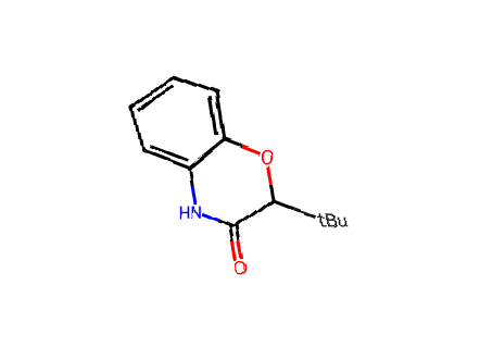 CC(C)(C)C1Oc2ccccc2NC1=O